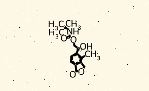 Cc1c([C@H](O)COC(=O)NC(C)(C)C)ccc2c1COC2=O